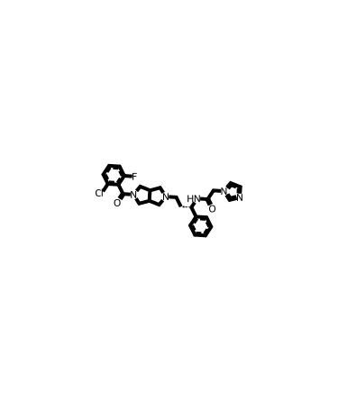 O=C(Cn1ccnc1)N[C@@H](CCN1CC2CN(C(=O)c3c(F)cccc3Cl)CC2C1)c1ccccc1